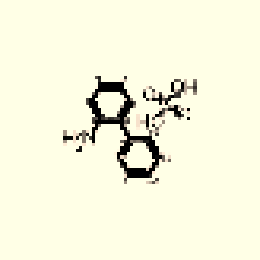 Nc1ccccc1-c1ccccc1.O=S(=O)(O)O